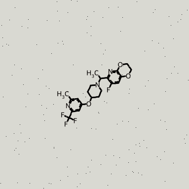 Cc1cc(OC2CCN(C(C)c3nc4c(cc3F)OCCO4)CC2)cc(C(F)(F)F)n1